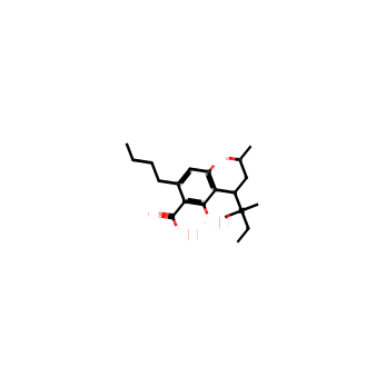 CCCCc1cc2c(c(O)c1C(=O)O)C(C(C)(C)CC)CC(C)O2